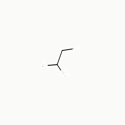 CCCC([CH]F)[N+](=O)[O-]